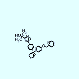 CC(C)(O)c1cc(-c2ccc([C@]3(c4ccc(OCc5ccccn5)cc4)CC4CCC3C4)cc2)on1